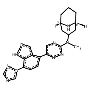 CN(c1ncc(-c2ccc(-n3cncn3)c3[nH]ncc23)nn1)C1C[C@H]2CCC[C@@H](C1)N2